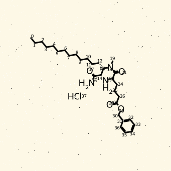 CCCCCCCCCCCCC[C@@H](CC(N)=O)N(C)C(=O)[C@@H](N)CCCC(=O)OCc1ccccc1.Cl